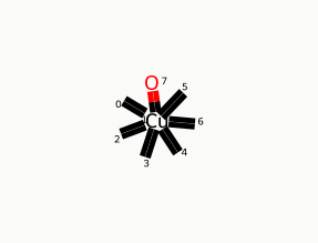 [CH2]=[Cu](=[CH2])(=[CH2])(=[CH2])(=[CH2])(=[CH2])=[O]